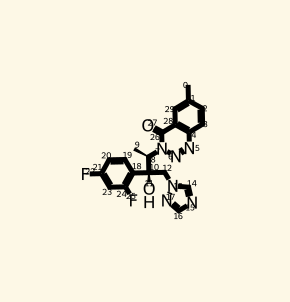 Cc1ccc2nnn([C@H](C)[C@](O)(Cn3cncn3)c3ccc(F)cc3F)c(=O)c2c1